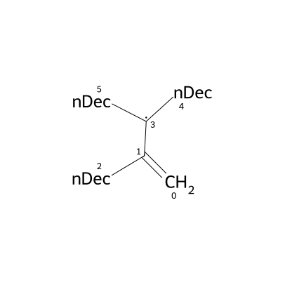 C=C(CCCCCCCCCC)[C](CCCCCCCCCC)CCCCCCCCCC